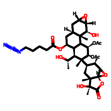 CC(=O)O[C@H]1C2C([C@@H](OC(=O)CCCCN=[N+]=[N-])C[C@H]3C[C@@H]4O[C@@H]4[C@H](O)[C@]23C)[C@H]([C@H](C)O)[C@@](C)([C@@H]2C[C@]3(C)[C@]4(OC(=O)[C@@]3(C)O)O[C@@H]4[C@H]2C)[C@H]1OC(C)=O